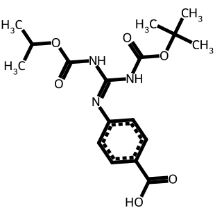 CC(C)OC(=O)NC(=Nc1ccc(C(=O)O)cc1)NC(=O)OC(C)(C)C